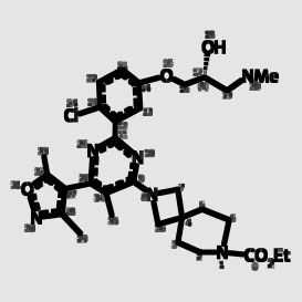 CCOC(=O)N1CCC2(CC1)CN(c1nc(-c3cc(OC[C@H](O)CNC)ccc3Cl)nc(-c3c(C)noc3C)c1C)C2